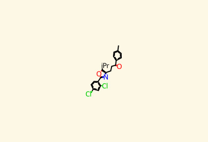 Cc1ccc(C(=O)CCc2nc(-c3ccc(Cl)cc3Cl)oc2C(C)C)cc1